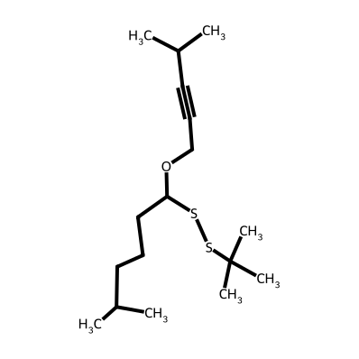 CC(C)C#CCOC(CCCC(C)C)SSC(C)(C)C